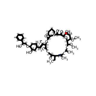 CCC1/C=C(\C)CC(C)CC(OC)C2OC(O)(C(=O)C(=O)N3CCCCC3C(=O)OC(C(C)=CC3CCC(OCC(O)c4ccccc4)C(O)C3)C(C)CCC1=O)C(C)CC2OC